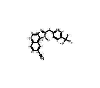 Cn1c(Cc2ccc(C(F)(F)F)cn2)nc2cnc3ccc(C#N)cc3c21